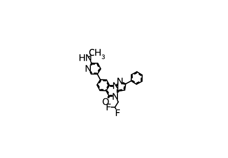 CNc1ccc(-c2ccc3c(=O)n(CC(F)F)c4cc(-c5ccccc5)nn4c3c2)cn1